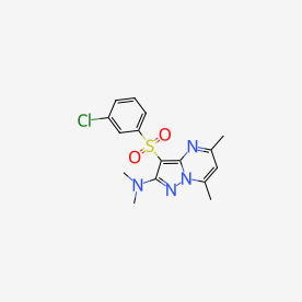 Cc1cc(C)n2nc(N(C)C)c(S(=O)(=O)c3cccc(Cl)c3)c2n1